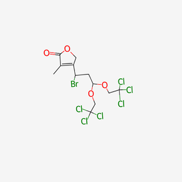 CC1=C(C(Br)CC(OCC(Cl)(Cl)Cl)OCC(Cl)(Cl)Cl)COC1=O